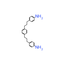 Nc1ccc(CCCc2ccc(CCCc3ccc(N)cc3)cc2)cc1